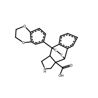 O=C(O)C12CNCC1C1(c3ccc4c(c3)OCCO4)CCC2c2ccccc21